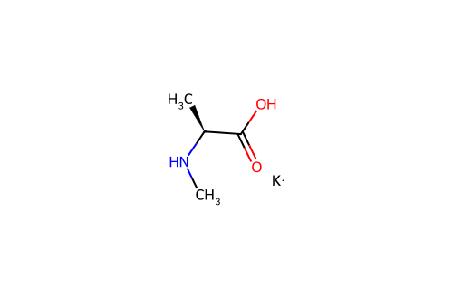 CN[C@@H](C)C(=O)O.[K]